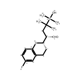 CC(C)(C[C@H](C=O)[C@@H]1CCc2cc(F)ccc2O1)[Si](C)(C)O